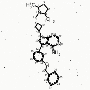 CC1CCC(C)N1C[C@H]1C[C@H](n2cc(-c3cccc(OCc4ccccc4)c3)c3c(N)ncnc32)C1